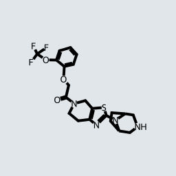 O=C(COc1ccccc1OC(F)(F)F)N1CCc2nc(N3C4CCC3CNC4)sc2C1